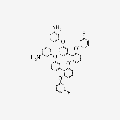 Nc1cccc(Oc2cccc(-c3c(Oc4cccc(F)c4)cccc3Oc3cccc(Oc4cccc(F)c4)c3-c3cccc(Oc4cccc(N)c4)c3)c2)c1